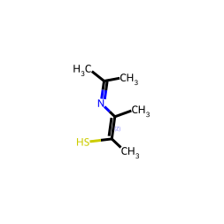 CC(C)=N/C(C)=C(/C)S